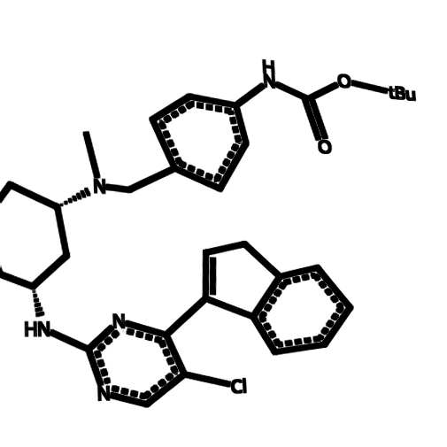 CN(Cc1ccc(NC(=O)OC(C)(C)C)cc1)[C@H]1CCC[C@@H](Nc2ncc(Cl)c(C3=CCc4ccccc43)n2)C1